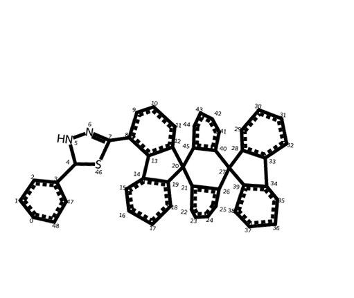 c1ccc(C2NN=C(c3cccc4c3-c3ccccc3C43c4ccccc4C4(c5ccccc5-c5ccccc54)c4ccccc43)S2)cc1